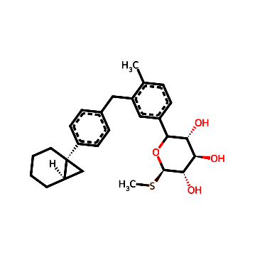 CS[C@H]1OC(c2ccc(C)c(Cc3ccc([C@@]45CCCC[C@@H]4C5)cc3)c2)[C@H](O)[C@@H](O)[C@@H]1O